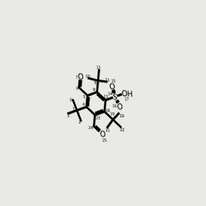 CC(C)(C)c1c(C=O)c(C(C)(C)C)c(S(=O)(=O)O)c(C(C)(C)C)c1C=O